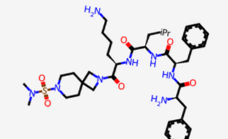 CC(C)C[C@@H](NC(=O)[C@@H](Cc1ccccc1)NC(=O)[C@H](N)Cc1ccccc1)C(=O)N[C@H](CCCCN)C(=O)N1CC2(CCN(S(=O)(=O)N(C)C)CC2)C1